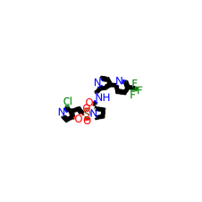 O=C(NCc1cc(-c2ccc(C(F)(F)F)cn2)ccn1)[C@@H]1CCCN1S(=O)(=O)c1cc2c(Cl)nccc2o1